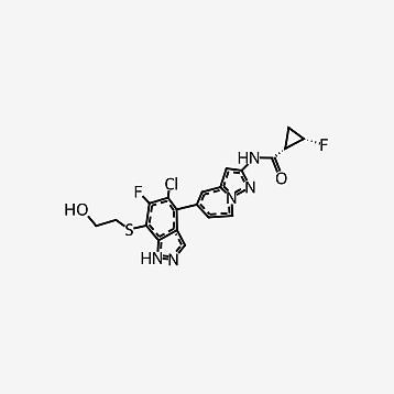 O=C(Nc1cc2cc(-c3c(Cl)c(F)c(SCCO)c4[nH]ncc34)ccn2n1)[C@@H]1C[C@@H]1F